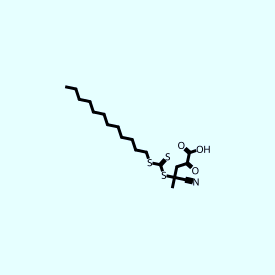 CCCCCCCCCCCCSC(=S)SC(C)(C#N)CC(=O)C(=O)O